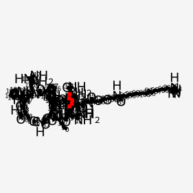 CCCC[C@H](NC(=O)[C@H](CNC(=N)N)NC(=O)[C@H](Cc1c[nH]cn1)NC(=O)[C@H](CCC(N)=O)NC(=O)[C@H](CO)NC(=O)CNC(=O)COCCOCCNC(=O)CCCCCCCCCCCCCCCc1nnn[nH]1)C(=O)N[C@H]1CCC(=O)NCCCC[C@@H](C(C)=O)NC(=O)[C@H](Cc2c[nH]c3ccccc23)NC(=O)[C@H](CCCNC(=N)N)NC(=O)[C@@H](Cc2ccccc2)NC(=O)[C@@H]2C[C@@H](O)CN2C1=O